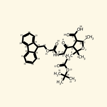 C[C@@H]1OC(C)(C)C(C(=O)[C@H](CC(=O)OC(C)(C)C)NC(=O)OCC2c3ccccc3-c3ccccc32)C1C(=O)O